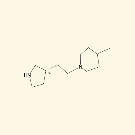 CC1CCN(CC[C@@H]2CCNC2)CC1